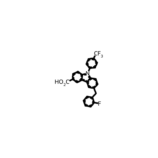 O=C(O)c1ccc2c(c1)c1cc(Cc3ccccc3F)ccc1n2-c1ccc(C(F)(F)F)cc1